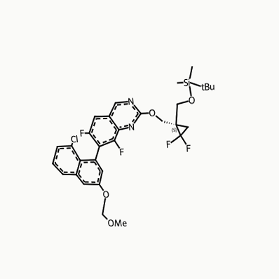 COCOc1cc(-c2c(F)cc3cnc(OC[C@]4(CO[Si](C)(C)C(C)(C)C)CC4(F)F)nc3c2F)c2c(Cl)cccc2c1